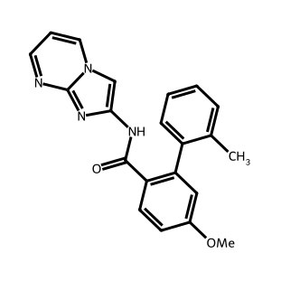 COc1ccc(C(=O)Nc2cn3cccnc3n2)c(-c2ccccc2C)c1